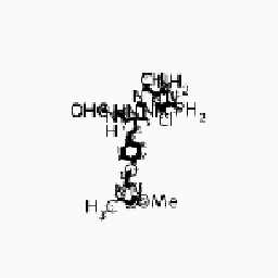 C=C(/N=C1\NCC(CCNC=O)(CCc2ccc(OCc3nc(C)cc(OC)n3)cc2)N1)c1nc(Cl)c(P)nc1N